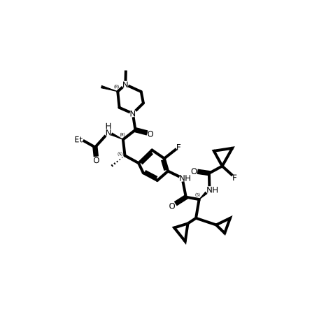 CCC(=O)N[C@@H](C(=O)N1CCN(C)[C@H](C)C1)[C@@H](C)c1ccc(NC(=O)[C@@H](NC(=O)C2(F)CC2)C(C2CC2)C2CC2)c(F)c1